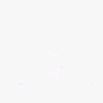 CCN(CC)CCCON1C(=O)C(c2ccc3ccccc3c2)c2c1cc(I)cc2C(F)(F)F